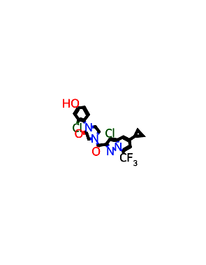 O=C(c1nn2c(C(F)(F)F)cc(C3CC3)cc2c1Cl)N1CCN(c2ccc(O)cc2Cl)C(=O)C1